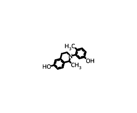 Cc1ccc(O)cc1N1CCc2cc(O)ccc2C1C